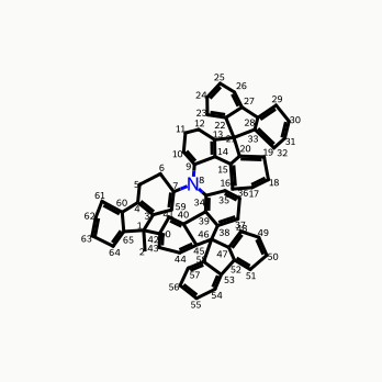 CC1(C)C2=C(CCC(N(C3=CCCC4=C3c3ccccc3C43c4ccccc4-c4ccccc43)c3cccc4c3-c3ccccc3C43c4ccccc4-c4ccccc43)=C2)c2ccccc21